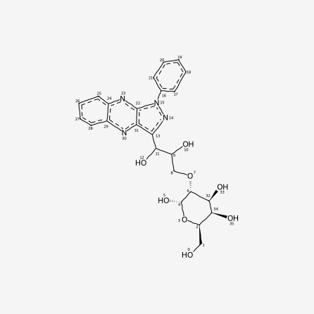 OC[C@H]1O[C@H](O)[C@H](OCC(O)C(O)c2nn(-c3ccccc3)c3nc4ccccc4nc23)[C@@H](O)[C@H]1O